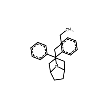 CCCCC1CC2CCC(C1)N2C(c1ccccc1)c1ccccc1